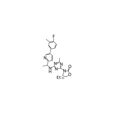 CC[C@H]1COC(=O)N1c1nc(C)nc(NC(C)c2ccc(-c3ccc(F)c(C)c3)cn2)n1